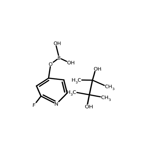 CC(C)(O)C(C)(C)O.OB(O)Oc1ccnc(F)c1